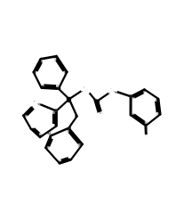 O=C(Nc1cccc(Cl)c1)NC(Cc1ccccc1)(c1ccccc1)c1ccccn1